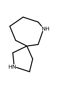 C1CCC2(CCNC2)CNC1